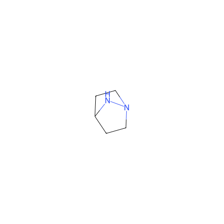 C1CN2CCC1N2